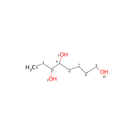 CCC(O)C(O)CC[CH]CO